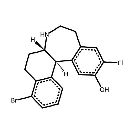 Oc1cc2c(cc1Cl)CCN[C@H]1CCc3c(Br)cccc3[C@H]21